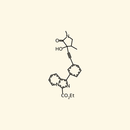 CCOC(=O)c1nc(-c2cccc(C#CC3(O)C(=O)N(C)CC3C)c2)c2ccccn12